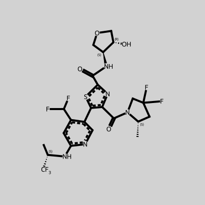 C[C@H](Nc1cc(C(F)F)c(-c2sc(C(=O)N[C@H]3COC[C@@H]3O)nc2C(=O)N2CC(F)(F)C[C@@H]2C)cn1)C(F)(F)F